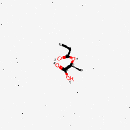 CCC(=O)O[C@@H](C)C(=O)O